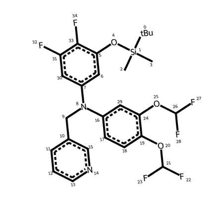 CC(C)(C)[Si](C)(C)Oc1cc(N(Cc2cccnc2)c2ccc(OC(F)F)c(OC(F)F)c2)cc(F)c1F